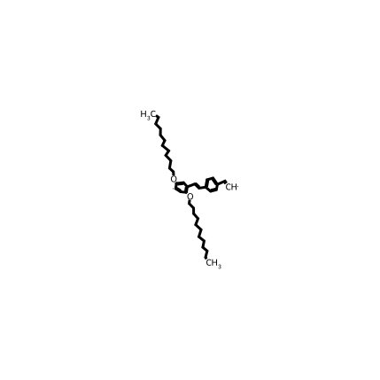 [CH]=Cc1ccc(C=Cc2cc(OCCCCCCCCCCCC)[c]cc2OCCCCCCCCCCCC)cc1